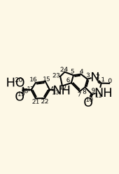 Cc1nc2cc3c(cc2c(=O)[nH]1)C(Nc1ccc(C(=O)O)cc1)CC3